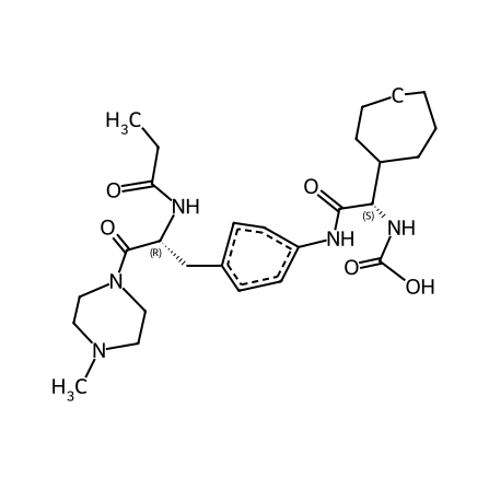 CCC(=O)N[C@H](Cc1ccc(NC(=O)[C@@H](NC(=O)O)C2CCCCCC2)cc1)C(=O)N1CCN(C)CC1